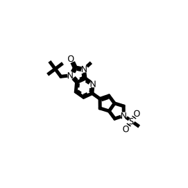 Cn1c(=O)n(CC(C)(C)C)c2ccc(C3=CC4CN(S(C)(=O)=O)CC4C3)nc21